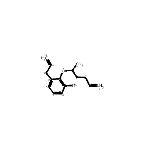 C=CCCC(C)Oc1c(Cl)cccc1CC=C